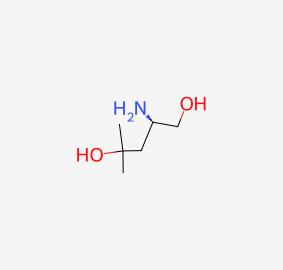 CC(C)(O)C[C@@H](N)CO